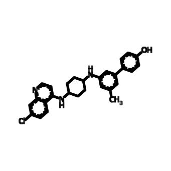 Cc1cc(NC2CCC(Nc3ccnc4cc(Cl)ccc34)CC2)cc(-c2ccc(O)cc2)c1